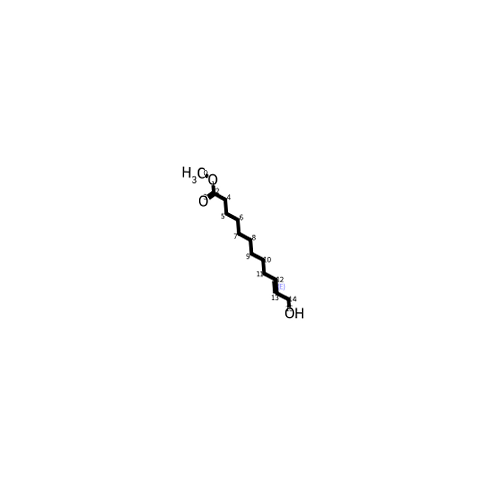 COC(=O)CCCCCCCC/C=C/CO